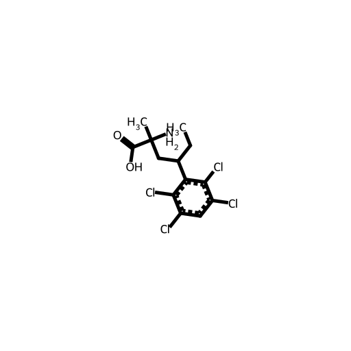 CCC(CC(C)(N)C(=O)O)c1c(Cl)c(Cl)cc(Cl)c1Cl